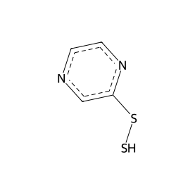 SSc1cnccn1